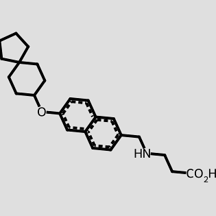 O=C(O)CCNCc1ccc2cc(OC3CCC4(CCCC4)CC3)ccc2c1